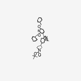 Cn1nc(-c2ccc(OCc3ccccc3)nc2OCc2ccccc2)c2ccc(C3CCN(C(=O)OC(C)(C)C)CC3)cc21